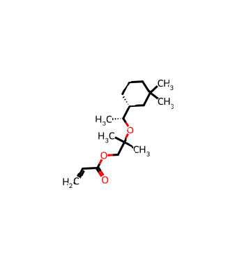 C=CC(=O)OCC(C)(C)O[C@H](C)[C@@H]1CCCC(C)(C)C1